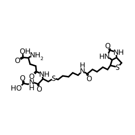 NC(CCC(=O)NC(CSCCCCCNC(=O)CCCCC1SCC2NC(=O)NC21)C(=O)NCC(=O)O)C(=O)O